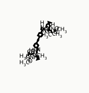 COC(=O)N[C@H](C(=O)N(Cc1nc2cc(C#Cc3ccc(-c4c[nH]c([C@@H]5CC6(CC6)CN5C(=O)[C@@H](NC(=O)OC)C(C)C)n4)cc3)ccc2[nH]1)CC1(C)CC1)C(C)C